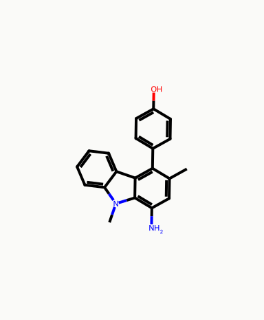 Cc1cc(N)c2c(c1-c1ccc(O)cc1)c1ccccc1n2C